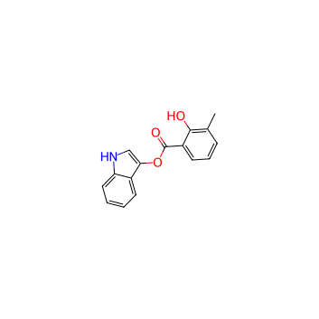 Cc1cccc(C(=O)Oc2c[nH]c3ccccc23)c1O